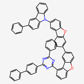 c1ccc(-c2ccc(-c3nc(-c4ccccc4)nc(-c4cccc5oc6ccc(-c7ccc8c(c7)oc7ccc(-n9c%10ccccc%10c%10cc(-c%11ccccc%11)ccc%109)cc78)cc6c45)n3)cc2)cc1